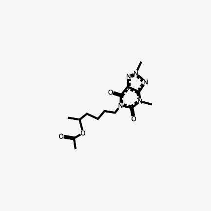 CC(=O)OC(C)CCCCn1c(=O)c2nn(C)nc2n(C)c1=O